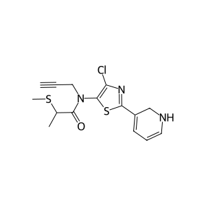 C#CCN(C(=O)C(C)SC)c1sc(C2=CC=CNC2)nc1Cl